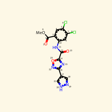 COC(=O)c1cc(Cl)c(Cl)cc1NC(=O)c1nc(-c2cn[nH]c2)no1